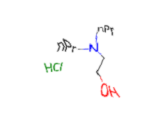 CCCN(CCC)CCO.Cl